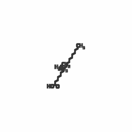 C=C.CCCCCCCCCCCCCCCCCC(=O)O.N